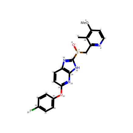 COc1ccnc(C[S+]([O-])c2nc3ccc(Oc4ccc(F)cc4)nc3[nH]2)c1C